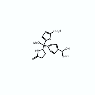 CCCCCCC(O)c1ccc([C@@](OC)(c2ccc(C(=O)O)s2)C2CCC(=O)N2)cc1